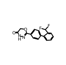 O=C1COC(c2ccc(-c3ccccc3C(F)F)cc2)=NN1